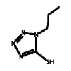 CCCn1nnnc1S